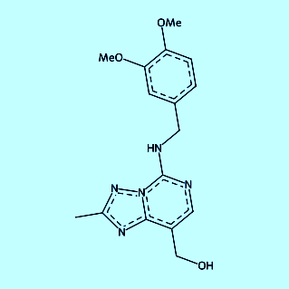 COc1ccc(CNc2ncc(CO)c3nc(C)nn23)cc1OC